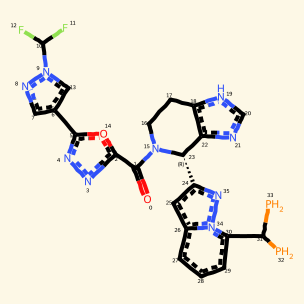 O=C(c1nnc(-c2cnn(C(F)F)c2)o1)N1CCc2[nH]cnc2[C@@H]1c1cc2cccc(C(P)P)n2n1